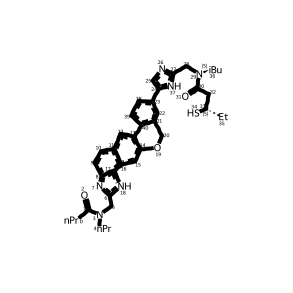 CCCC(=O)N(CCC)Cc1nc2ccc3cc4c(cc3c2[nH]1)OCc1cc(-c2cnc(CN(C(=O)C[C@@H](S)CC)[C@@H](C)CC)[nH]2)ccc1-4